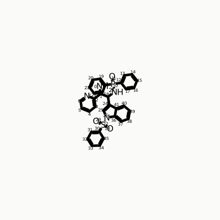 NC(c1ccccn1)C(NP(=O)(c1ccccc1)c1ccccc1)c1cn(S(=O)(=O)c2ccccc2)c2ccccc12